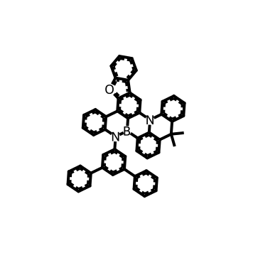 CC1(C)c2ccccc2N2c3cc4c(oc5ccccc54)c4c3B(c3cccc1c32)N(c1cc(-c2ccccc2)cc(-c2ccccc2)c1)c1ccccc1-4